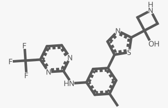 Cc1cc(Nc2nccc(C(F)(F)F)n2)cc(-c2cnc(C3(O)CNC3)s2)c1